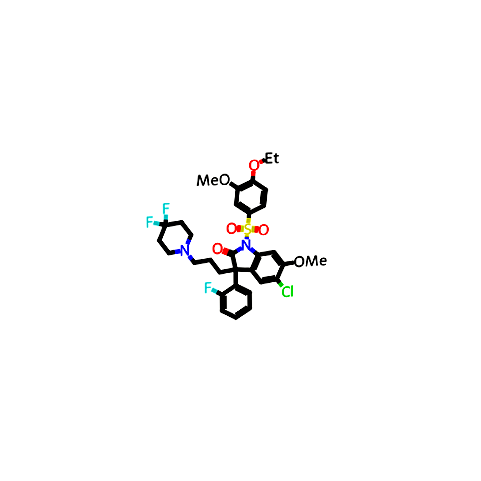 CCOc1ccc(S(=O)(=O)N2C(=O)C(CCCN3CCC(F)(F)CC3)(c3ccccc3F)c3cc(Cl)c(OC)cc32)cc1OC